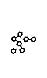 c1ccc(-c2ccc(N3c4ccccc4-c4ccccc4-c4cc5c(cc43)c3ccccc3n5-c3ccccc3)cc2)cc1